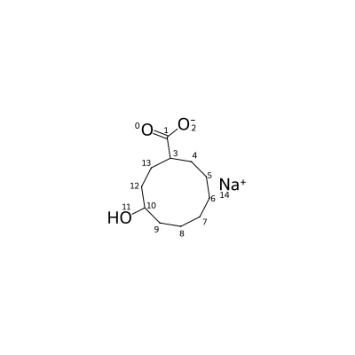 O=C([O-])C1CCCCCCC(O)CC1.[Na+]